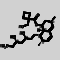 C[C@H]1C=C2C=C[C@H](C)[C@H](CC[C@@H](O)C[C@@H](O)CC(=O)O)[C@H]2[C@@H](OC(=O)C2(CO)CCC2)C1